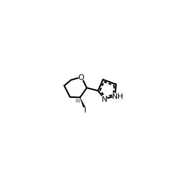 I[C@H]1CCCOC1c1cc[nH]n1